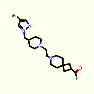 CCC(=O)C1CC2(CCN(CCN3CCC(C[n+]4cc(C(C)C)c[nH]4)CC3)CC2)C1